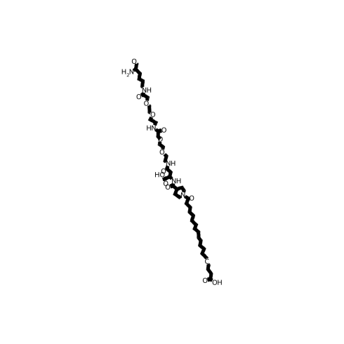 NC(C=O)CCCCNC(=O)COCCOCCNC(=O)COCCOCCNC(=O)CC(NC(=O)C1CCN(C(=O)CCCCCCCCCCCCCCCCCCC(=O)O)CC1)C(=O)O